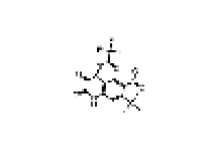 O=C(Nn1c(=O)c(=O)[nH]c2cc(C(F)(F)F)c([N+](=O)[O-])cc21)C(F)(F)F